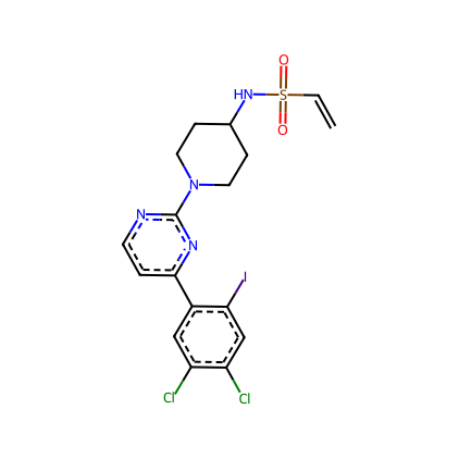 C=CS(=O)(=O)NC1CCN(c2nccc(-c3cc(Cl)c(Cl)cc3I)n2)CC1